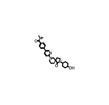 CN(C)C(=O)c1ccc(-c2ccc(N3CCC[C@]4(CCN(C5CCC(O)CC5)C4=O)C3)nc2)cc1